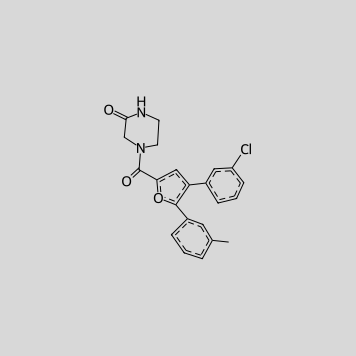 Cc1cccc(-c2oc(C(=O)N3CCNC(=O)C3)cc2-c2cccc(Cl)c2)c1